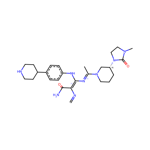 C=N/C(C(N)=O)=C(\N=C(/C)N1CCC[C@@H](N2CCN(C)C2=O)C1)Nc1ccc(C2CCNCC2)cc1